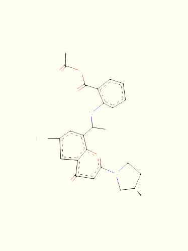 Cc1cc(C(C)Nc2ccccc2C(=O)OC(=O)C(F)(F)F)c2oc(N3CC[C@@H](C(F)(F)F)C3)cc(=O)c2c1